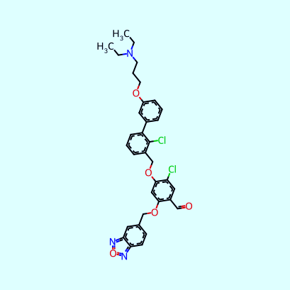 CCN(CC)CCCOc1cccc(-c2cccc(COc3cc(OCc4ccc5nonc5c4)c(C=O)cc3Cl)c2Cl)c1